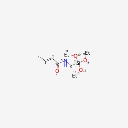 CC=CC(=O)NC[Si](OCC)(OCC)OCC